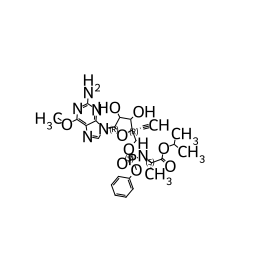 C#C[C@]1(CO[P@@](=O)(N[C@@H](C)C(=O)OC(C)C)Oc2ccccc2)O[C@@H](n2cnc3c(OC)nc(N)nc32)C(O)C1O